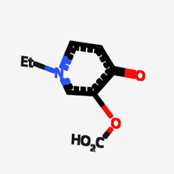 CCn1ccc(=O)c(OC(=O)O)c1